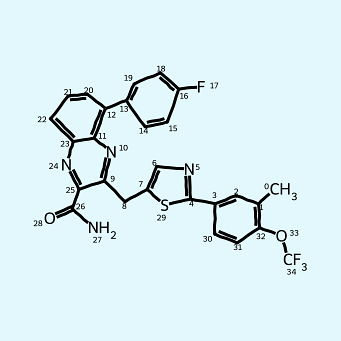 Cc1cc(-c2ncc(Cc3nc4c(-c5ccc(F)cc5)cccc4nc3C(N)=O)s2)ccc1OC(F)(F)F